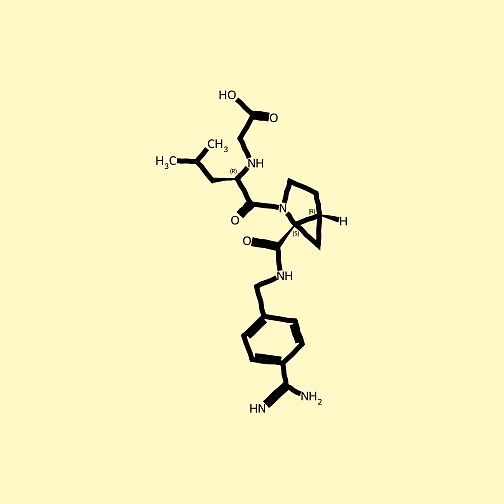 CC(C)C[C@@H](NCC(=O)O)C(=O)N1CC[C@@H]2C[C@@]21C(=O)NCc1ccc(C(=N)N)cc1